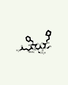 CC(=O)N[C@@H](CCC(N)=O)C(=O)N[C@@H](CC1CCCCC1)C(=O)N[C@@H](CC(=O)O)C(=O)N[C@@H](CC(C)C)C(=O)NCCc1ccccc1